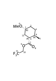 CO[C@@H]1CC[C@@H](C)[C@H](C(=O)OCC(F)(F)F)C1